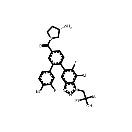 CCC(O)(CC)Cn1nnc2cc(-c3ccc(C(=O)N4CC[C@H](N)C4)cc3-c3ccc(C#N)c(F)c3)c(F)c(Cl)c21